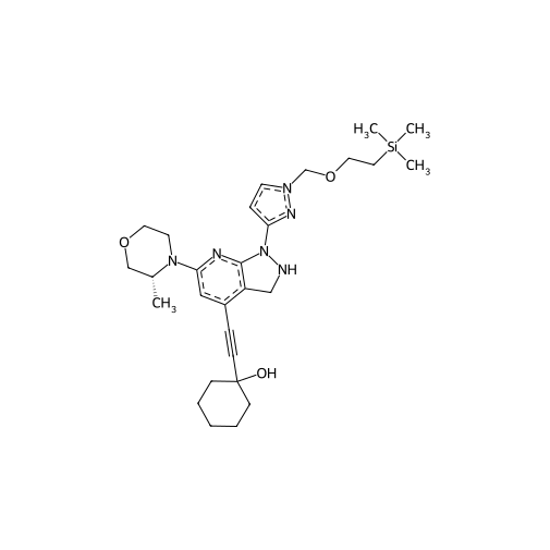 C[C@@H]1COCCN1c1cc(C#CC2(O)CCCCC2)c2c(n1)N(c1ccn(COCC[Si](C)(C)C)n1)NC2